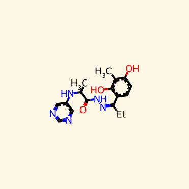 CCC(=NNC(=O)C(C)Nc1cncnc1)c1ccc(O)c(C)c1O